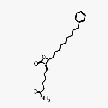 NC(=O)CCCCC=C1C(=O)OC1CCCCCCCCCc1ccccc1